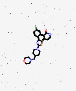 O=c1[nH]ccc2c3sc(N4CCC(CN5CCOCC5)CC4)nc3c3ccc(F)cc3c12